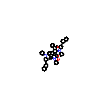 CC1(C)c2ccccc2-c2c3c(cc(N(c4ccccc4)c4ccc(-c5ccc6ccccc6c5)cc4)c21)C1(c2cc(N(c4ccccc4)c4ccc(-c5ccc6ccccc6c5)cc4)ccc2-3)c2ccccc2N2c3ccccc3Oc3cccc1c32